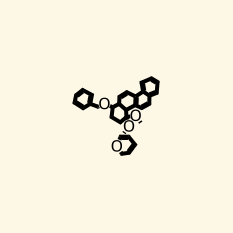 C1=CCOC=C1.COC1(OC)CCC(OCc2ccccc2)C2C=Cc3c(ccc4ccccc34)C21